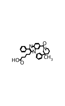 CC1(c2ccccc2)CCCN(C(=O)c2ccc3nc(-c4ccccc4)c(CCCCC(=O)O)nc3c2)C1